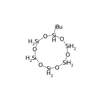 CCC(C)[SiH]1O[SiH2]O[SiH2]O[SiH2]O[SiH2]O[SiH2]O1